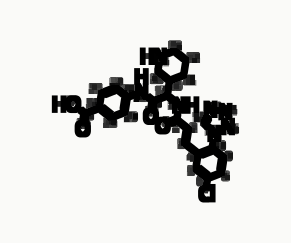 O=C(C=Cc1cc(Cl)ccc1-n1cnnn1)NC(C(=O)Nc1ccc(C(=O)O)cc1)C1CCCNC1